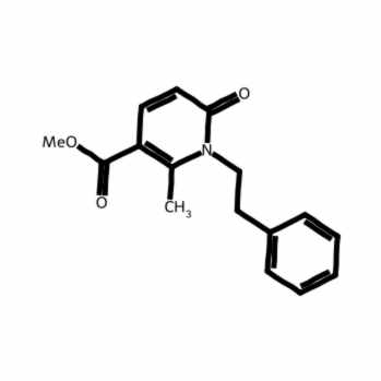 COC(=O)c1ccc(=O)n(CCc2ccccc2)c1C